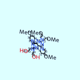 COCCN(CCOC)c1nc(N2CCC(OC)CC2)c2nc(N(CCO)CCO)nc(N3CCC(OC)CC3)c2n1